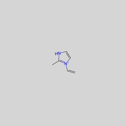 C=C[n+]1cc[nH]c1C